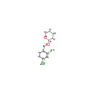 Fc1cc(Br)ccc1COC1CCCCO1